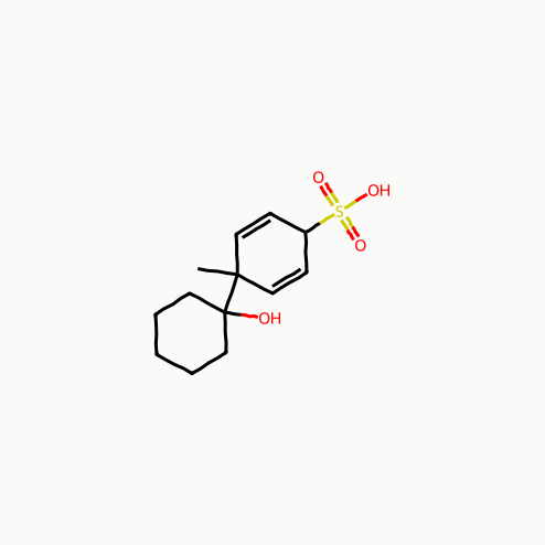 CC1(C2(O)CCCCC2)C=CC(S(=O)(=O)O)C=C1